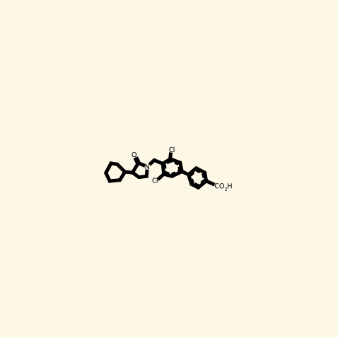 O=C(O)c1ccc(-c2cc(Cl)c(CN3CCC(C4CCCCC4)C3=O)c(Cl)c2)cc1